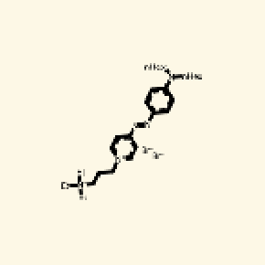 CCCCCCN(CCCCCC)c1ccc(/N=N/c2cc[n+](CCC[N+](CC)(CC)CC)cc2)cc1.[Br-].[Br-]